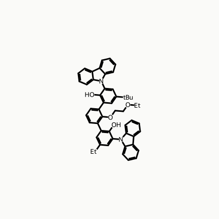 CCOCCOc1c(-c2cc(CC)cc(-n3c4ccccc4c4ccccc43)c2O)cccc1-c1cc(C(C)(C)C)cc(-n2c3ccccc3c3ccccc32)c1O